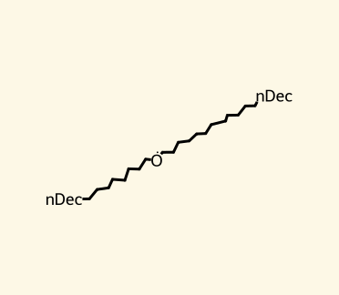 CCCCCCCCCCCCCCCCCCCCC[CH]OCCCCCCCCCCCCCCCCCC